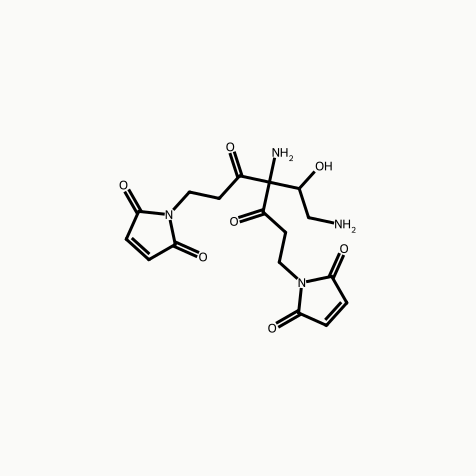 NCC(O)C(N)(C(=O)CCN1C(=O)C=CC1=O)C(=O)CCN1C(=O)C=CC1=O